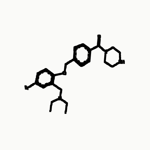 CCN(CC)Cc1cc(Br)ccc1OCc1ccc(C(=O)N2CCNCC2)cc1